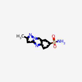 Cc1cc2nc3ccc(S(N)(=O)=O)cc3cn2n1